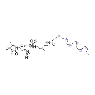 CC/C=C\C/C=C\C/C=C\C/C=C\C/C=C\C/C=C\CCC(=O)NCCN(C)CCNP(=O)(OC)OC[C@H]1OC(n2cc(C)c(=O)[nH]c2=O)C[C@@H]1N=[N+]=[N-]